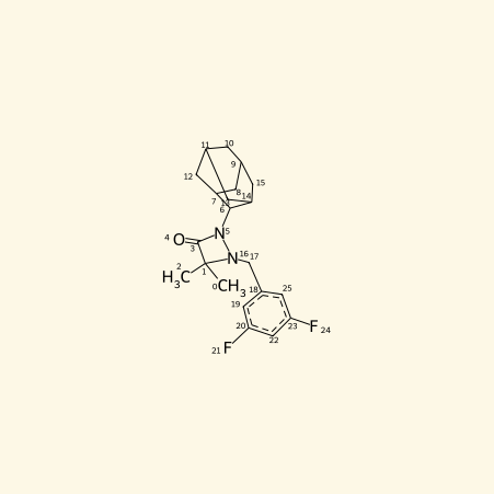 CC1(C)C(=O)N(C2C3CC4CC(C3)CC2C4)N1Cc1cc(F)cc(F)c1